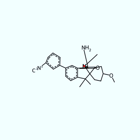 [C-]#[N+]c1cccc(-c2ccc3c(c2)C2(N=C(N)N(C)C2=O)C2(CCC(OC)CC2)C3(C)C)c1